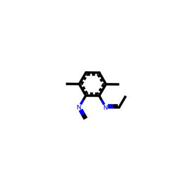 C=Nc1c(C)ccc(C)c1/N=C\C